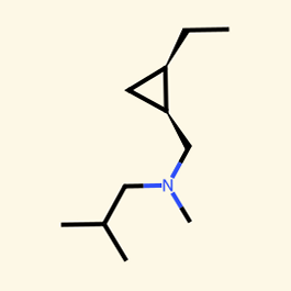 CC[C@@H]1C[C@@H]1CN(C)CC(C)C